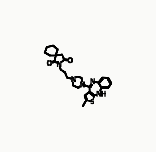 Cc1cc2c(s1)Nc1ccccc1N=C2N1CCN(CCCN2C(=O)CC3(CCCCC3)C2=O)CC1